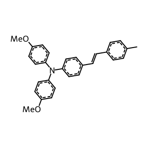 COc1ccc(N(c2ccc(/C=C/c3ccc(C)cc3)cc2)c2ccc(OC)cc2)cc1